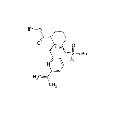 C=C(C)c1cccc(C[C@@H]2[C@H](NS(=O)(=O)CCCC)CCCN2C(=O)OC(C)C)n1